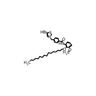 Br.CCCCCCCCCCCCCCCCOc1c(NC(=O)c2ccc(CN3C=CSC3)cc2)cccc1OC